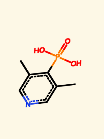 Cc1cncc(C)c1P(=O)(O)O